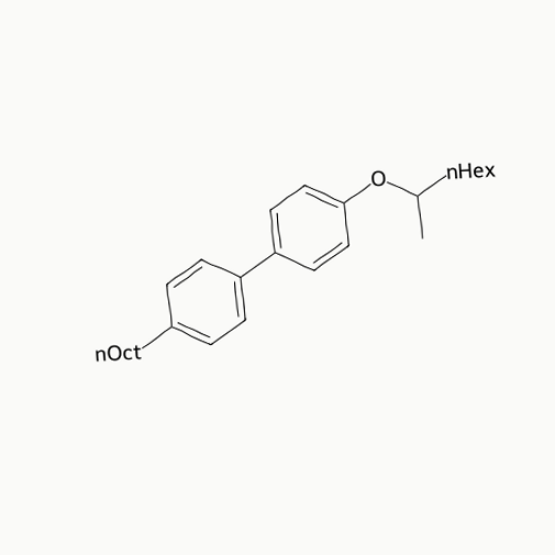 CCCCCCCCc1ccc(-c2ccc(OC(C)CCCCCC)cc2)cc1